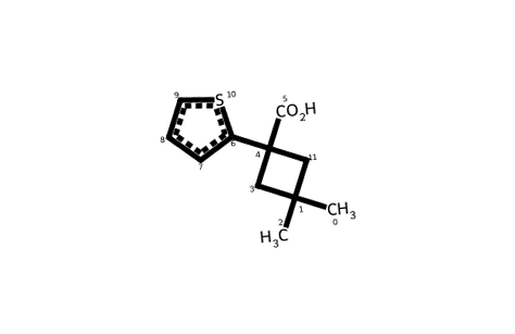 CC1(C)CC(C(=O)O)(c2cccs2)C1